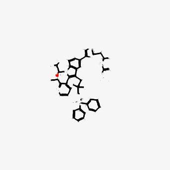 CO[C@@H](C)c1ncccc1-c1c(CC(C)(C)CO[Si](c2ccccc2)(c2ccccc2)C(C)(C)C)c2cc(-c3coc(CC(NC(=O)OC(C)(C)C)C(=O)O)n3)ccc2n1C(F)C(F)F